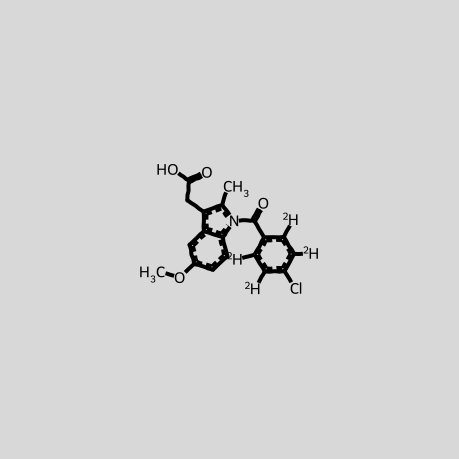 [2H]c1c([2H])c(C(=O)n2c(C)c(CC(=O)O)c3cc(OC)ccc32)c([2H])c([2H])c1Cl